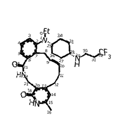 CCN(c1cccc2c1C/C=C/CCc1cc(C)[nH]c(=O)c1CNC2=O)[C@H]1CC[C@@H](NCCC(F)(F)F)CC1